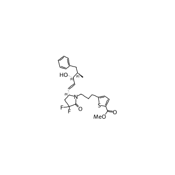 COC(=O)c1ccc(CCCN2C(=O)C(F)(F)C[C@@H]2C=C[C@H](O)[C@H](C)Cc2ccccc2)s1